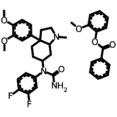 COc1ccc(C23CCC(N(C(N)=O)c4ccc(F)c(F)c4)CC2N(C)CC3)cc1OC.COc1ccccc1OC(=O)c1ccccc1